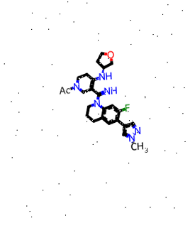 CC(=O)N1CCC(N[C@H]2CCOC2)=C(C(=N)N2CCCc3cc(-c4cnn(C)c4)c(F)cc32)C1